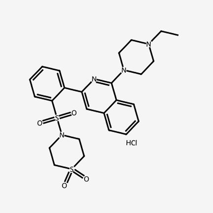 CCN1CCN(c2nc(-c3ccccc3S(=O)(=O)N3CCS(=O)(=O)CC3)cc3ccccc23)CC1.Cl